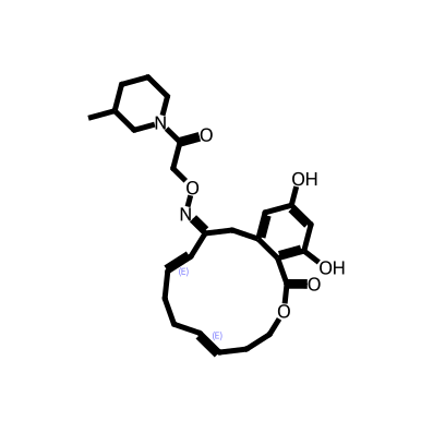 CC1CCCN(C(=O)CON=C2/C=C/CC/C=C/CCOC(=O)c3c(O)cc(O)cc3C2)C1